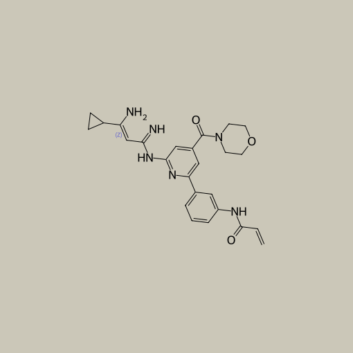 C=CC(=O)Nc1cccc(-c2cc(C(=O)N3CCOCC3)cc(NC(=N)/C=C(\N)C3CC3)n2)c1